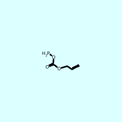 C=CCOC(=O)OP